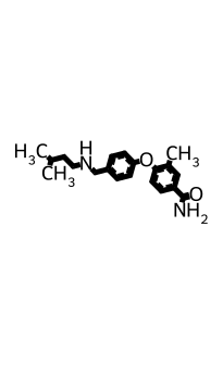 Cc1cc(C(N)=O)ccc1Oc1ccc(CNCCC(C)C)cc1